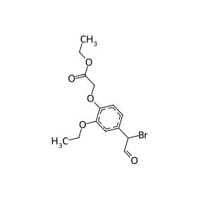 CCOC(=O)COc1ccc(C(Br)C=O)cc1OCC